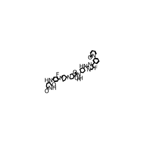 O=C1CC[C@@H](Nc2ccc(N3CCC(N4CCC(O)(C(=O)N[C@H]5CC[C@H](Nc6ncc(F)c(-c7cccc(-n8ccccc8=O)c7)n6)CC5)CC4)CC3)c(F)c2)C(=O)N1